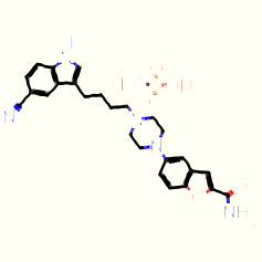 CS(=O)(=O)O.N#Cc1ccc2[nH]cc(CCCCN3CCN(c4ccc5oc(C(N)=O)cc5c4)CC3)c2c1